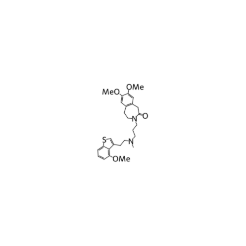 COc1cc2c(cc1OC)CC(=O)N(CCCN(C)CCc1csc3cccc(OC)c13)CC2